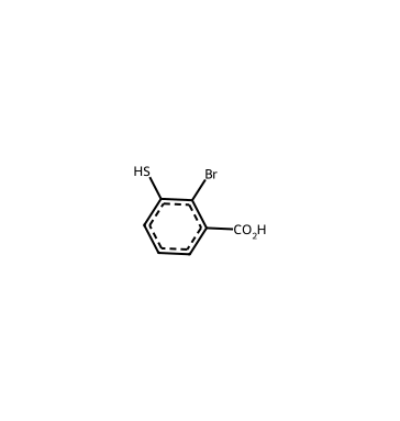 O=C(O)c1cccc(S)c1Br